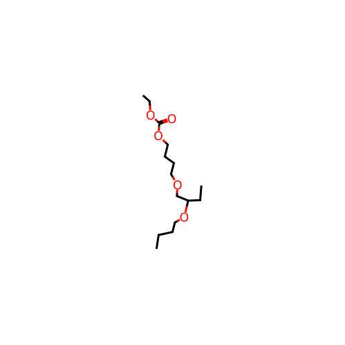 CCCCOC(CC)COCCCCOC(=O)OCC